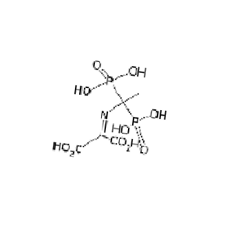 CC(N=C(C(=O)O)C(=O)O)(P(=O)(O)O)P(=O)(O)O